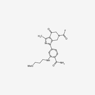 COCCCNc1cc(-n2nc(C)c3c2CN(C(=O)F)CC3=O)ccc1C(N)=O